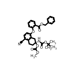 COC(=O)O[C@@]1(NC(=O)OC(C)(C)C)CCc2c(C#N)ccc(Oc3ccccc3C(=O)OCc3ccccc3)c2C1